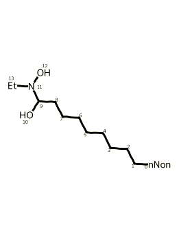 CCCCCCCCCCCCCCCCCC(O)N(O)CC